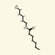 CCCCCCC(=O)OCCCCC[O]